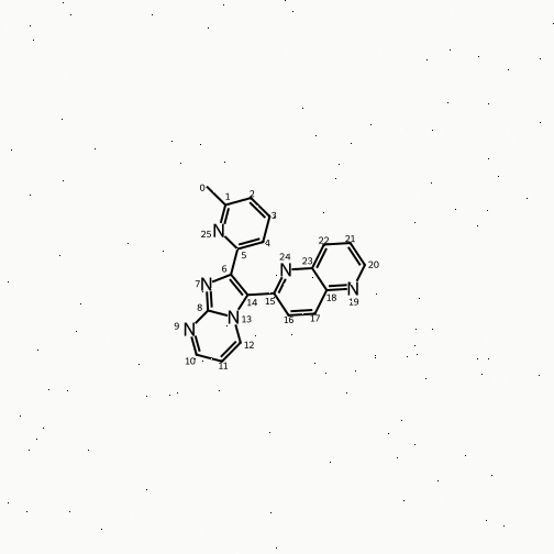 Cc1cccc(-c2nc3ncccn3c2-c2ccc3ncccc3n2)n1